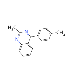 Cc1ccc(-c2nc(C)nc3ccccc23)cc1